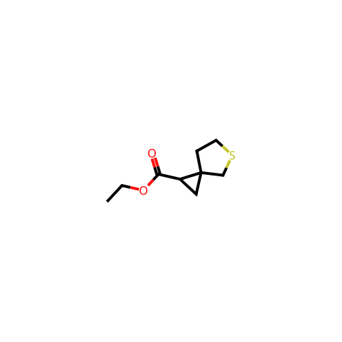 CCOC(=O)C1CC12CCSC2